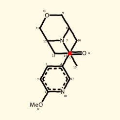 COc1ccc(C(=O)N2C3COCC2CN(C)C3)cn1